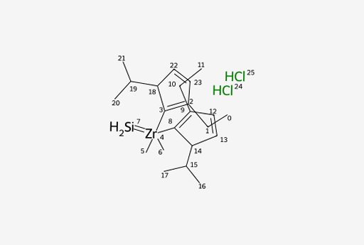 CCC1=[C]([Zr]([CH3])([CH3])(=[SiH2])[C]2=C(CC)C=CC2C(C)C)C(C(C)C)C=C1.Cl.Cl